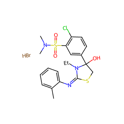 Br.CCN1/C(=N\c2ccccc2C)SCC1(O)c1ccc(Cl)c(S(=O)(=O)N(C)C)c1